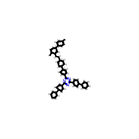 Cc1ccc(-c2ccc(C)c(CCc3ccc(-c4ccc(-c5nc(-c6ccc(-c7ccccc7)cc6)nc(-c6ccc(-c7ccccc7)cc6)n5)cc4)cc3)c2)cc1